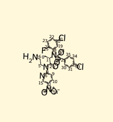 C[C@H](C(=O)N(CCN)c1ccc([N+](=O)[O-])cn1)N(c1cc(Cl)ccc1F)S(=O)(=O)c1ccc(Cl)cc1